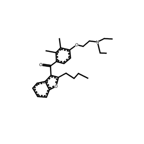 CCCCc1oc2ccccc2c1C(=O)c1ccc(OCCN(CC)CC)c(C)c1C